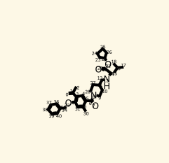 C=C(C)c1cc(C(=O)N2CCC(CN[C@@H](CC(C)C)C(=O)OC3CCCC3)CC2)c(C)cc1OCc1ccccc1